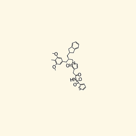 COc1cc([C@@H](O)[C@@H](CC2Cc3ccccc3C2)Cn2ccc(CC(=O)NS(=O)(=O)c3cccs3)c2)cc(OC)c1C